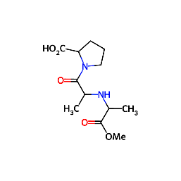 COC(=O)C(C)NC(C)C(=O)N1CCCC1C(=O)O